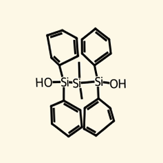 C[Si](C)([Si](O)(c1ccccc1)c1ccccc1)[Si](O)(c1ccccc1)c1ccccc1